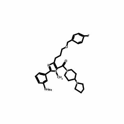 CCCCCCc1cccc(-c2nc(CCCOCc3ccc(F)cc3)c(C(=O)N3CCC(N4CCCC4)CC3)n2C)c1